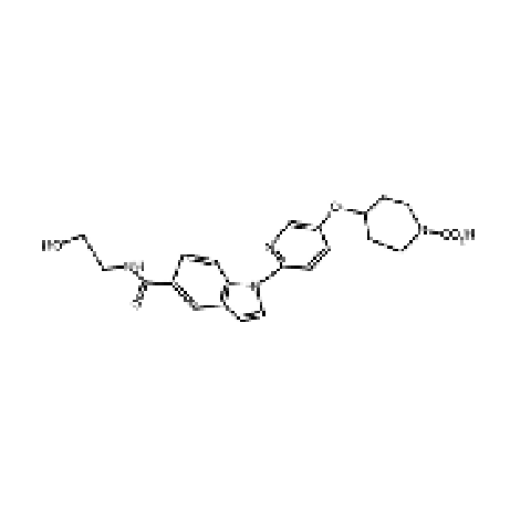 O=C(NCCO)c1ccc2c(ccn2-c2ccc(OC3CCN(C(=O)O)CC3)cn2)c1